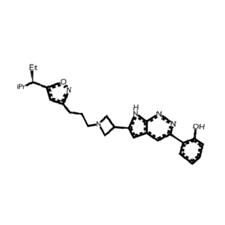 CC[C@@H](c1cc(CCCN2CC(c3cc4cc(-c5ccccc5O)nnc4[nH]3)C2)no1)C(C)C